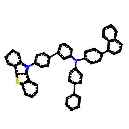 c1ccc(-c2ccc(N(c3ccc(-c4cccc5ccccc45)cc3)c3cccc(-c4ccc(-n5c6ccccc6c6sc7ccccc7c65)cc4)c3)cc2)cc1